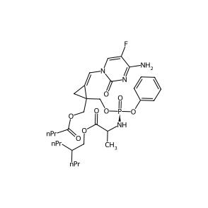 CCCC(=O)OCC1(CO[P@@](=O)(NC(C)C(=O)OCC(CCC)CCC)Oc2ccccc2)C/C1=C/n1cc(F)c(N)nc1=O